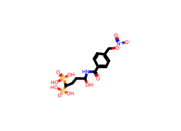 O=C(NC(O)CCC(P(=O)(O)O)P(=O)(O)O)c1ccc(CO[N+](=O)[O-])cc1